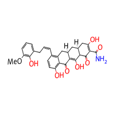 COc1cccc(C/C=C\c2ccc(O)c3c2C[C@H]2C[C@H]4CC(O)=C(C(N)=O)C(=O)C4C(O)=C2C3=O)c1O